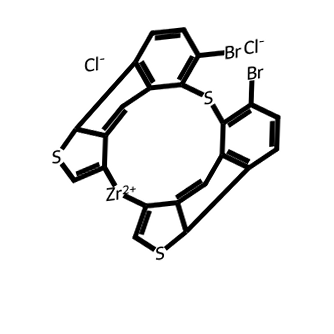 Brc1ccc2c3c1Sc1c(Br)ccc4c1C=C1[C](=CSC14)[Zr+2][C]1=CSC2C1=C3.[Cl-].[Cl-]